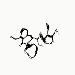 C[C@H](Nc1ncnc(N)c1C#N)c1cc2cccc(CI)c2c(=O)n1-c1ccon1